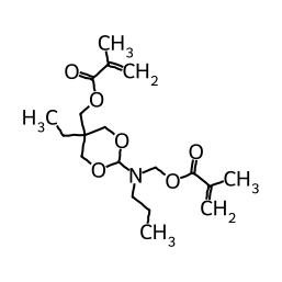 C=C(C)C(=O)OCN(CCC)C1OCC(CC)(COC(=O)C(=C)C)CO1